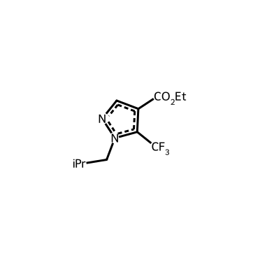 CCOC(=O)c1cnn(CC(C)C)c1C(F)(F)F